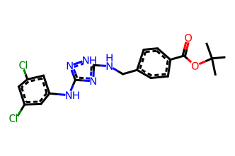 CC(C)(C)OC(=O)c1ccc(CNc2nc(Nc3cc(Cl)cc(Cl)c3)n[nH]2)cc1